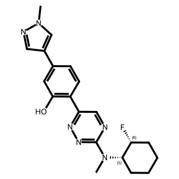 CN(c1ncc(-c2ccc(-c3cnn(C)c3)cc2O)nn1)[C@H]1CCCC[C@H]1F